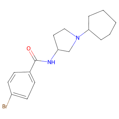 O=C(NC1CCN(C2CCCCC2)C1)c1ccc(Br)cc1